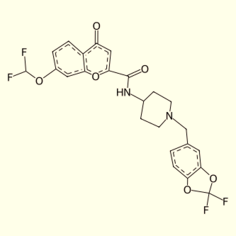 O=C(NC1CCN(Cc2ccc3c(c2)OC(F)(F)O3)CC1)c1cc(=O)c2ccc(OC(F)F)cc2o1